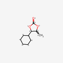 C=C1OC(=O)OC1C1CCCCC1